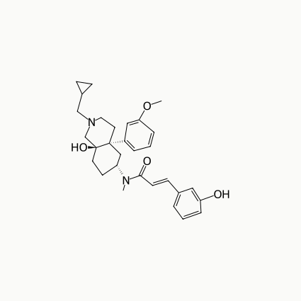 COc1cccc([C@@]23CCN(CC4CC4)C[C@@]2(O)CC[C@@H](N(C)C(=O)C=Cc2cccc(O)c2)C3)c1